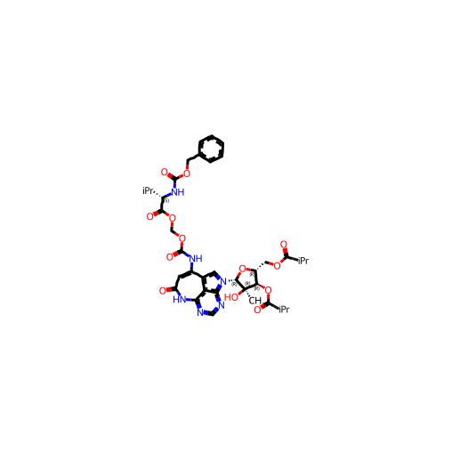 CC(C)C(=O)OC[C@H]1O[C@@H](n2cc3c4c(ncnc42)NC(=O)C=C3NC(=O)OCOC(=O)[C@@H](NC(=O)OCc2ccccc2)C(C)C)[C@](C)(O)[C@@H]1OC(=O)C(C)C